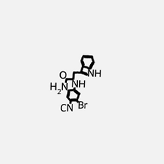 N#Cc1ccc(NC(Cc2c[nH]c3ccccc23)C(N)=O)cc1Br